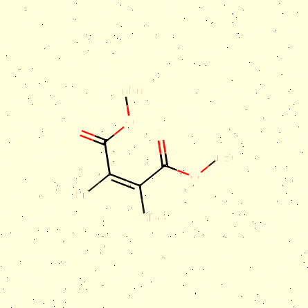 CCCCCCCCCC/C(C(=O)OCCCC)=C(/C(=O)OCCCC)C(C)C